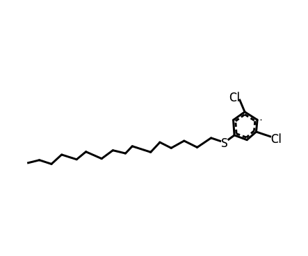 CCCCCCCCCCCCCCCCSc1cc(Cl)[c]c(Cl)c1